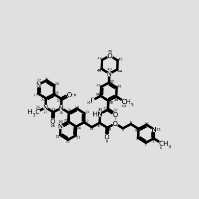 Cc1ccc(CCOC(=O)C(Cc2ccc(-n3c(=O)c4ccncc4n(C)c3=O)c3ncccc23)NC(=O)c2c(C)cc(N3CCOCC3)cc2F)cn1